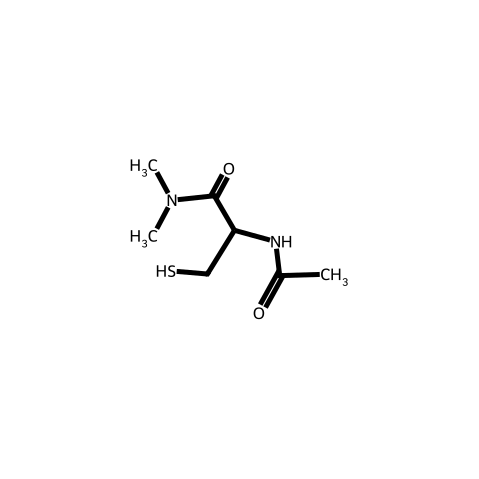 CC(=O)NC(CS)C(=O)N(C)C